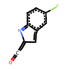 O=C=C1C=c2cc(F)ccc2=N1